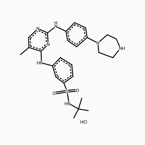 Cc1cnc(Nc2ccc(N3CCNCC3)cc2)nc1Nc1cccc(S(=O)(=O)NC(C)(C)C)c1.Cl